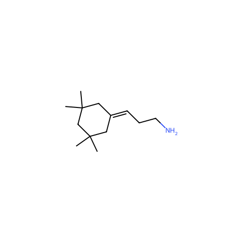 CC1(C)CC(=CCCN)CC(C)(C)C1